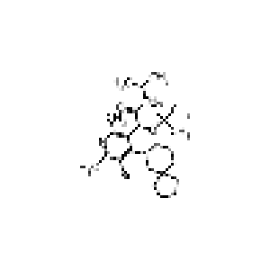 Cc1nc(C)c([C@H](OC(C)(C)C)C(=O)OC(C)C)c(N2CCCC3(CCCC3)C2)c1Br